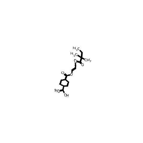 CCC(C)(C)C(=O)OCCOC(=O)C1CCC(C(O)O)CC1